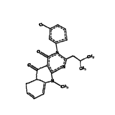 CC(C)Cc1nc2c(c(=O)n1-c1cccc(Cl)c1)C(=O)C1CC=CC=C1N2C